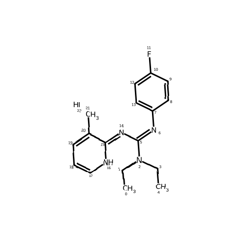 CCN(CC)C(=Nc1ccc(F)cc1)N=c1[nH]cccc1C.I